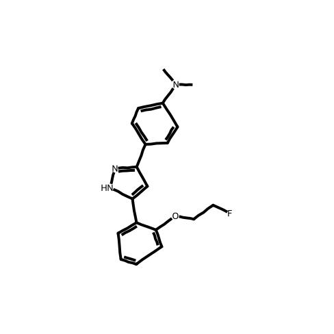 CN(C)c1ccc(-c2cc(-c3ccccc3OCCF)[nH]n2)cc1